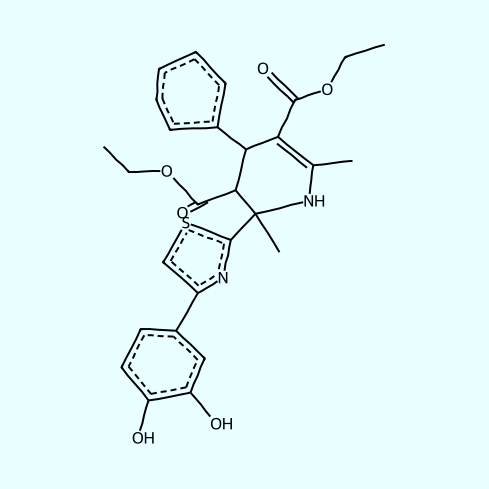 CCOC(=O)C1=C(C)NC(C)(c2nc(-c3ccc(O)c(O)c3)cs2)C(C(=O)OCC)C1c1ccccc1